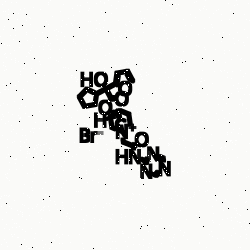 O=C(C[N+]12CCC(CC1)[C@@H](OC(=O)C(O)(c1ccco1)C1CCCC1)C2)Nc1ncncn1.[Br-]